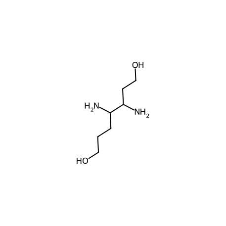 NC(CCO)C(N)CCCO